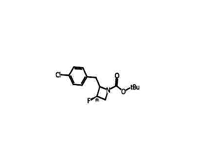 CC(C)(C)OC(=O)N1C[C@@H](F)C1Cc1ccc(Cl)cc1